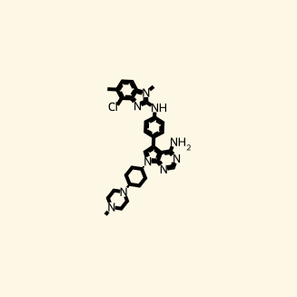 Cc1ccc2c(nc(Nc3ccc(-c4cn([C@H]5CC[C@H](N6CCN(C)CC6)CC5)c5ncnc(N)c45)cc3)n2C)c1Cl